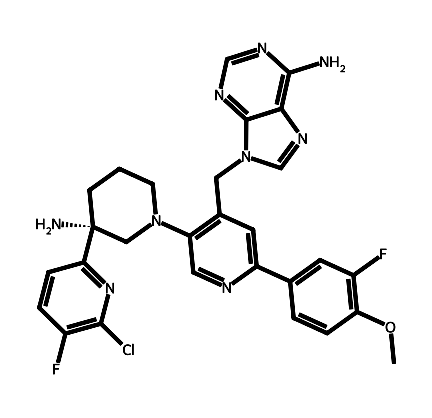 COc1ccc(-c2cc(Cn3cnc4c(N)ncnc43)c(N3CCC[C@](N)(c4ccc(F)c(Cl)n4)C3)cn2)cc1F